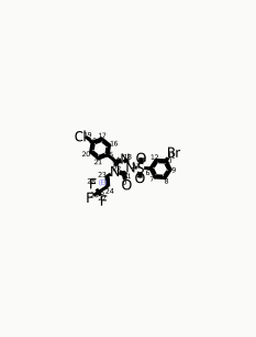 O=c1n(S(=O)(=O)c2cccc(Br)c2)nc(-c2ccc(Cl)cc2)n1/C=C/C(F)(F)F